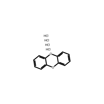 Cl.Cl.Cl.Cl.c1ccc2c(c1)Oc1ccccc1O2